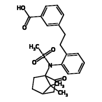 CC1(C)C2CCC1(N(c1ccccc1CCc1cccc(C(=O)O)c1)S(C)(=O)=O)C(=O)C2